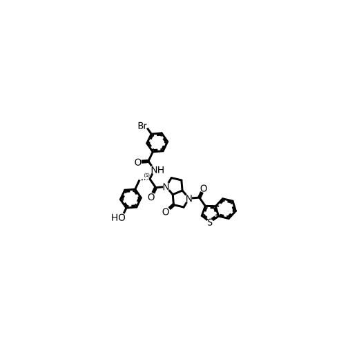 O=C(N[C@@H](Cc1ccc(O)cc1)C(=O)N1CCC2C1C(=O)CN2C(=O)c1csc2ccccc12)c1cccc(Br)c1